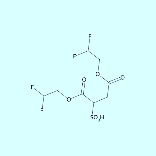 O=C(CC(C(=O)OCC(F)F)S(=O)(=O)O)OCC(F)F